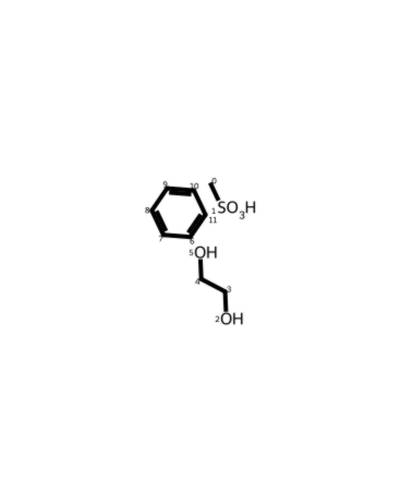 CS(=O)(=O)O.OCCO.c1ccccc1